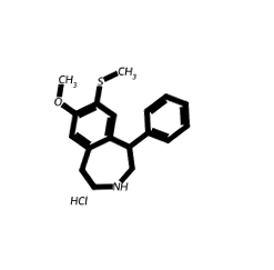 COc1cc2c(cc1SC)C(c1ccccc1)CNCC2.Cl